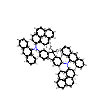 CC1(C)c2cc(N(c3c4ccccc4cc4ccccc34)c3ccc4ccc5cccc6ccc3c4c56)ccc2-c2ccc(N(c3c4ccccc4cc4ccccc34)c3ccc4ccc5cccc6ccc3c4c56)cc21